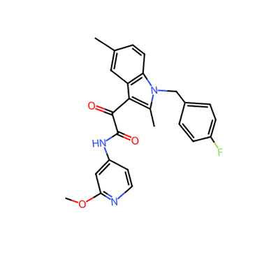 COc1cc(NC(=O)C(=O)c2c(C)n(Cc3ccc(F)cc3)c3ccc(C)cc23)ccn1